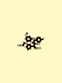 COc1cc(NC(C(=O)C(=N)/C(=C\O)c2ccccc2)c2ccc(C)cc2)cc(OCCO)c1